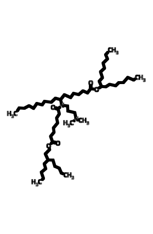 CCCCCCCCCCC(CCCCCCC(=O)OC(CCCCCCCC)CCCCCCCC)N(CCCN(C)C)C(=O)CCCCCCC(=O)OCCC(CCCCC)CCCCC